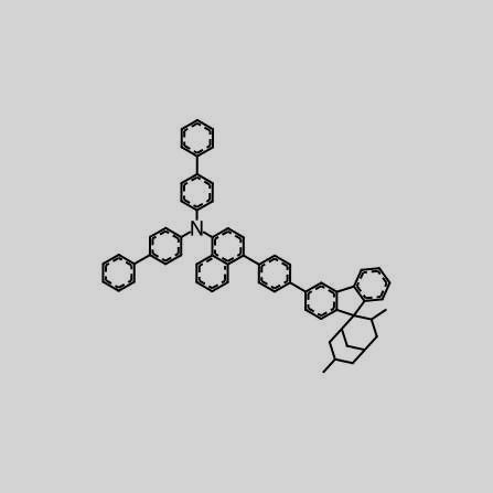 CC1CC2CC(C)C3(c4ccccc4-c4cc(-c5ccc(-c6ccc(N(c7ccc(-c8ccccc8)cc7)c7ccc(-c8ccccc8)cc7)c7ccccc67)cc5)ccc43)C(C1)C2